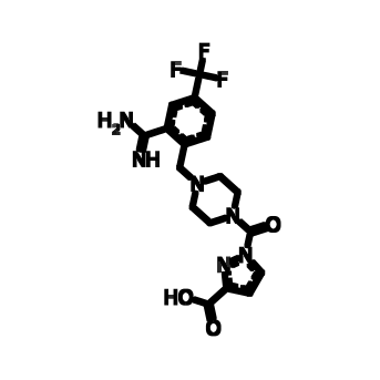 N=C(N)c1cc(C(F)(F)F)ccc1CN1CCN(C(=O)n2ccc(C(=O)O)n2)CC1